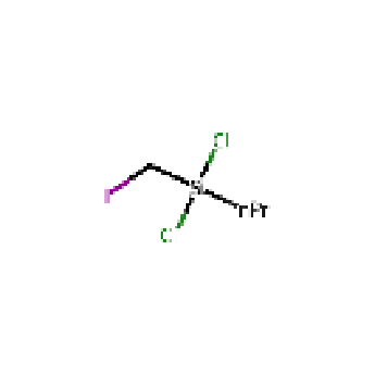 CCC[Si](Cl)(Cl)CI